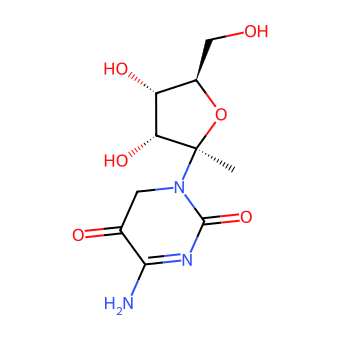 C[C@@]1(N2CC(=O)C(N)=NC2=O)O[C@H](CO)[C@@H](O)[C@H]1O